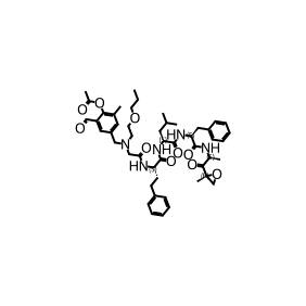 CCCOCCN(CC(=O)N[C@@H](CCc1ccccc1)C(=O)N[C@@H](CC(C)C)C(=O)N[C@@H](Cc1ccccc1)C(=O)N[C@@H](C)C(=O)[C@@]1(C)CO1)Cc1cc(C)c(OC(C)=O)c(C=O)c1